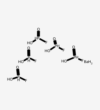 O=[PH](O)F.O=[PH](O)F.O=[PH](O)F.O=[PH](O)F.O=[PH](O)F.[BaH2]